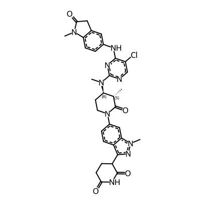 C[C@@H]1C(=O)N(c2ccc3c(C4CCC(=O)NC4=O)nn(C)c3c2)CC[C@H]1N(C)c1ncc(Cl)c(Nc2ccc3c(c2)CC(=O)N3C)n1